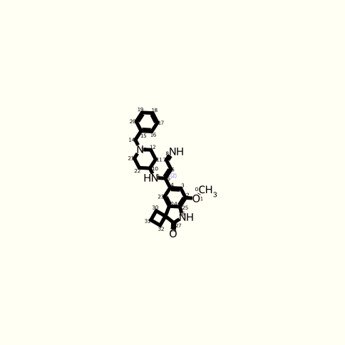 COc1cc(/C(=C/C=N)NC2CCN(Cc3ccccc3)CC2)cc2c1NC(=O)C21CCC1